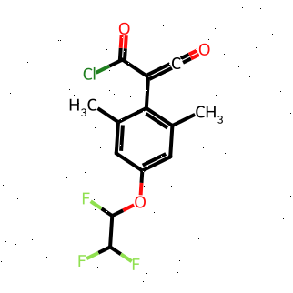 Cc1cc(OC(F)C(F)F)cc(C)c1C(=C=O)C(=O)Cl